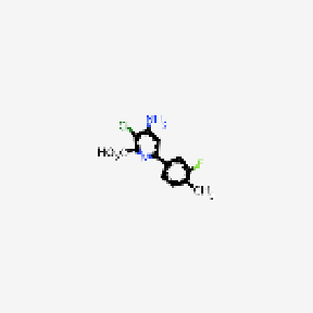 Cc1ccc(-c2cc(N)c(Cl)c(C(=O)O)n2)cc1F